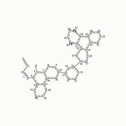 C=C/C=C\c1c(C)c2ccc(-c3cccc(-c4ccc5c6ccccc6c6nccnc6c5c4)c3)cc2c2ccccc12